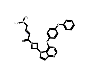 CN(C)C/C=C/C(=O)N1CC(n2ccc3ncnc(Oc4ccc(Oc5ccccc5)cc4)c32)C1